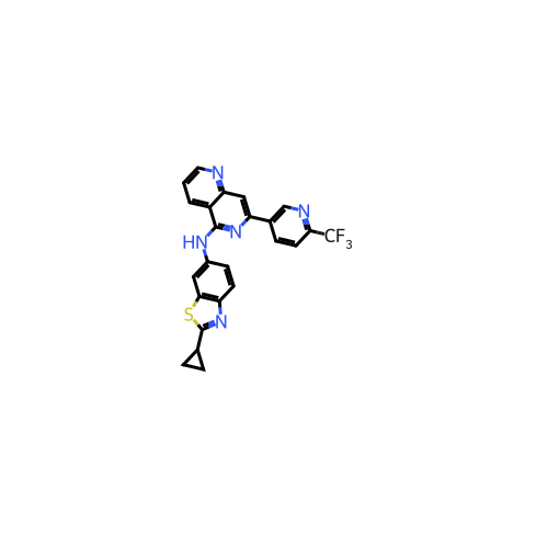 FC(F)(F)c1ccc(-c2cc3ncccc3c(Nc3ccc4nc(C5CC5)sc4c3)n2)cn1